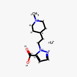 CN1CCC(CCn2nccc2C(=O)[O-])CC1.[Li+]